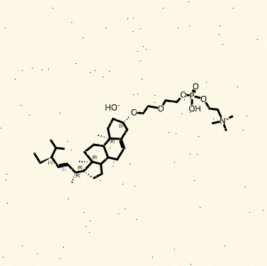 CC[C@H](/C=C/[C@@H](C)[C@H]1CCC2C3CC=C4C[C@@H](OCCOCCOP(=O)(O)OCC[N+](C)(C)C)CC[C@]4(C)C3CC[C@@]21C)C(C)C.[OH-]